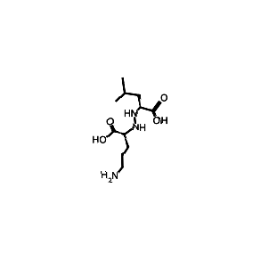 CC(C)C[C@H](NN[C@@H](CCCN)C(=O)O)C(=O)O